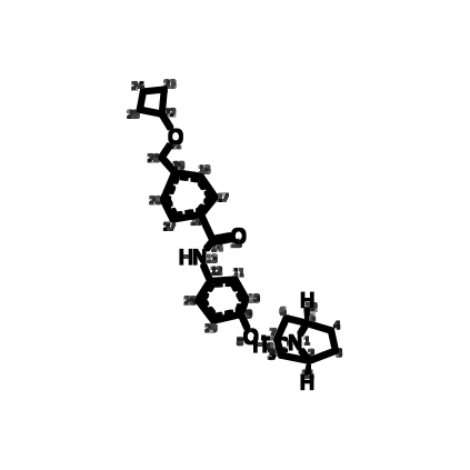 CN1[C@@H]2CC[C@H]1C[C@@H](Oc1ccc(NC(=O)c3ccc(COC4CCC4)cc3)cc1)C2